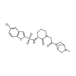 CN1CC2CC1CN2C(=O)CN1CCC[C@H](NS(=O)(=O)c2cc3cc(Cl)ccc3s2)C1=O